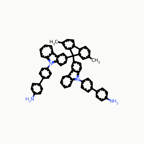 Cc1ccc2c(c1)C(c1ccc3c(c1)c1ccccc1n3-c1ccc(-c3ccc(N)cc3)cc1)(c1ccc3c(c1)c1ccccc1n3-c1ccc(-c3ccc(N)cc3)cc1)c1cc(C)ccc1-2